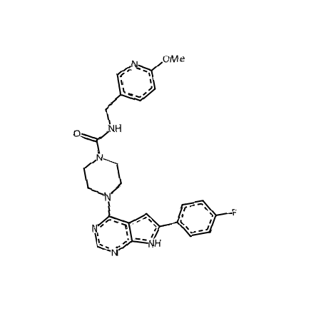 COc1ccc(CNC(=O)N2CCN(c3ncnc4[nH]c(-c5ccc(F)cc5)cc34)CC2)cn1